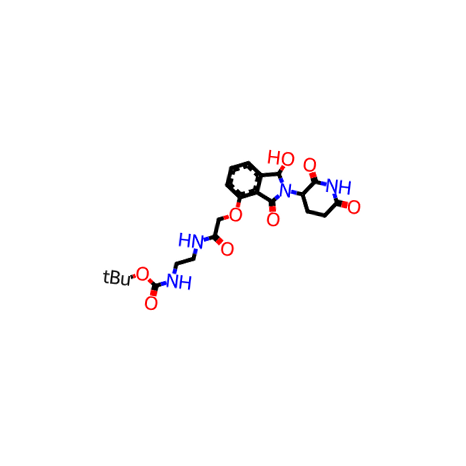 CC(C)(C)OC(=O)NCCNC(=O)COc1cccc2c1C(=O)N(C1CCC(=O)NC1=O)C2O